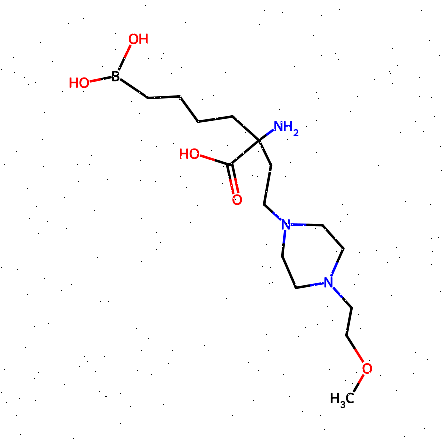 COCCN1CCN(CCC(N)(CCCCB(O)O)C(=O)O)CC1